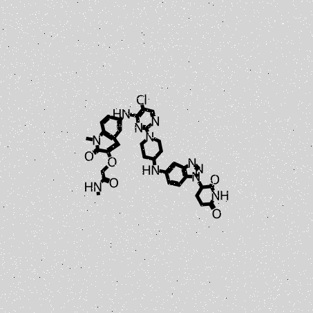 CNC(=O)COc1cc2cc(Nc3nc(N4CCC(Nc5ccc6c(c5)nnn6C5CCC(=O)NC5=O)CC4)ncc3Cl)ccc2n(C)c1=O